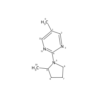 Cc1cnc(N2CCCC2C)nc1